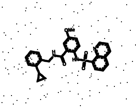 COc1ccc(NS(=O)(=O)c2cccc3cccnc23)c(C(=O)NCc2ccccc2C2CC2)c1